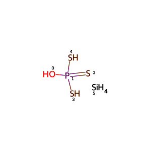 OP(=S)(S)S.[SiH4]